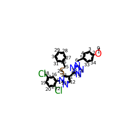 COc1ccc(Cn2nnc(-c3cnn(-c4cc(Cl)ccc4Cl)c3SCc3ccccc3)n2)cc1